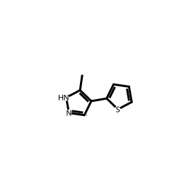 Cc1[nH]n[c]c1-c1cccs1